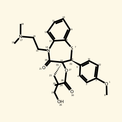 COc1ccc([C@@H]2Sc3ccccc3N(CCN(C)C)C(=O)[C@]2(CCCO)OC(C)=O)cc1